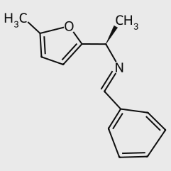 Cc1ccc([C@@H](C)/N=C/c2ccccc2)o1